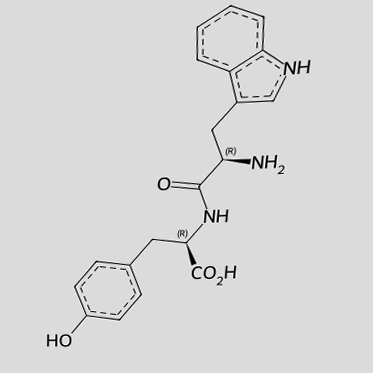 N[C@H](Cc1c[nH]c2ccccc12)C(=O)N[C@H](Cc1ccc(O)cc1)C(=O)O